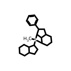 CS1(C2CCC3CCCCC32)C2CCCC3CC(c4ccccc4)C1C32